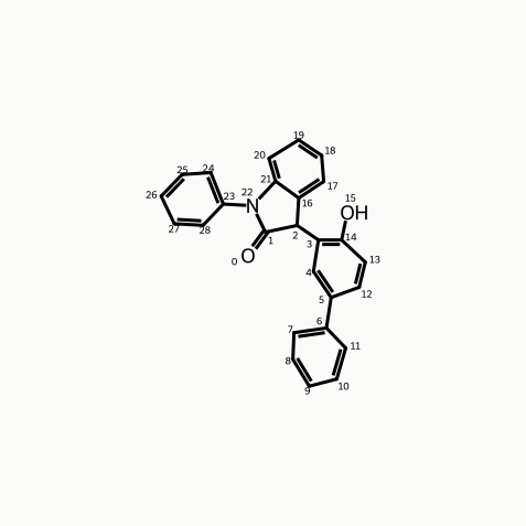 O=C1C(c2cc(-c3ccccc3)ccc2O)c2ccccc2N1c1ccccc1